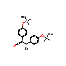 CCC(C(=C=O)c1ccc(O[Si](C)(C)C(C)(C)C)cc1)c1ccc(O[Si](C)(C)C(C)(C)C)cc1